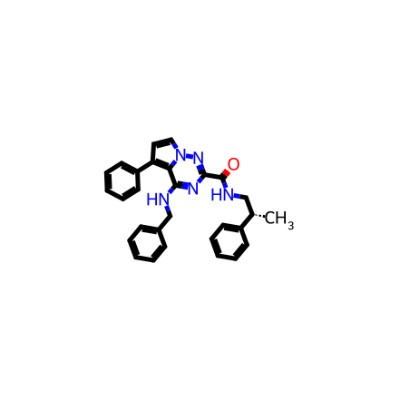 C[C@@H](CNC(=O)c1nc(NCc2ccccc2)c2c(-c3ccccc3)ccn2n1)c1ccccc1